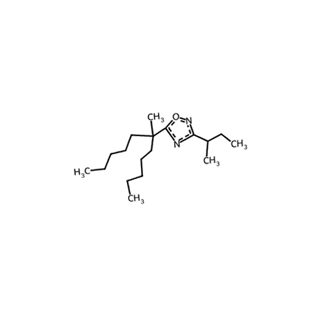 CCCCCC(C)(CCCCC)c1nc(C(C)CC)no1